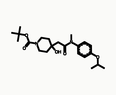 CC(C)Oc1ccc(N(C)C(=O)CC2(O)CCN(C(=O)OC(C)(C)C)CC2)cc1